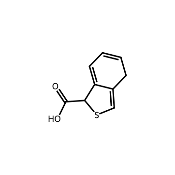 O=C(O)C1SC=C2CC=CC=C21